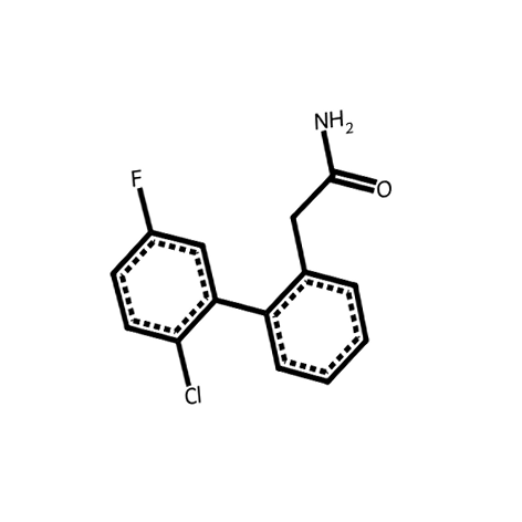 NC(=O)Cc1ccccc1-c1cc(F)ccc1Cl